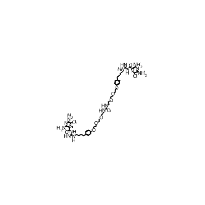 N=C(NCCCCc1ccc(OCCOCCOCCNC(=O)NCCOCCOCCOc2ccc(CCCCNC(=N)NC(=O)c3nc(Cl)c(N)nc3N)cc2)cc1)NC(=O)c1nc(Cl)c(N)nc1N